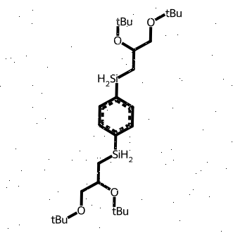 CC(C)(C)OCC(C[SiH2]c1ccc([SiH2]CC(COC(C)(C)C)OC(C)(C)C)cc1)OC(C)(C)C